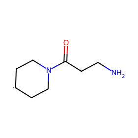 NCCC(=O)N1CC[CH]CC1